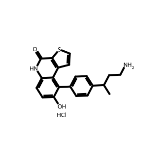 CC(CCN)c1ccc(-c2c(O)ccc3[nH]c(=O)c4sccc4c23)cc1.Cl